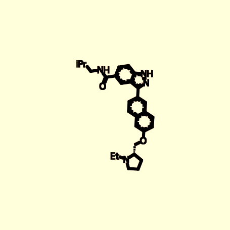 CCN1CCC[C@H]1COc1ccc2cc(-c3n[nH]c4ccc(C(=O)NCC(C)C)cc34)ccc2c1